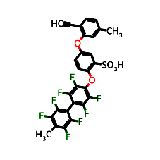 C#Cc1ccc(C)cc1Oc1ccc(Oc2c(F)c(F)c(-c3c(F)c(F)c(C)c(F)c3F)c(F)c2F)c(S(=O)(=O)O)c1